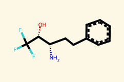 N[C@@H](CCc1ccccc1)[C@@H](O)C(F)(F)F